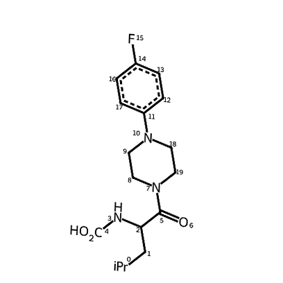 CC(C)CC(NC(=O)O)C(=O)N1CCN(c2ccc(F)cc2)CC1